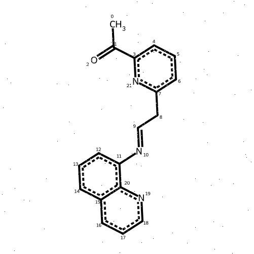 CC(=O)c1cccc(CC=Nc2cccc3cccnc23)n1